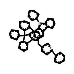 c1ccc(-c2ccc(Cc3cc(-c4ccccc4C4(c5ccccc5)c5ccccc5-c5ccccc54)c4c(c3)c3ccccc3n4-c3ccccc3)cc2)cc1